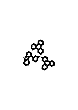 c1cc(-c2cccc3oc4ccccc4c23)cc(N(c2ccc3c4ccccc4c4ccccc4c3c2)c2ccc3c4ccccc4c4ccccc4c3c2)c1